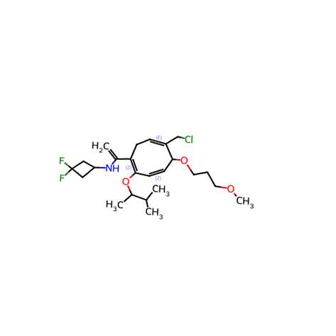 C=C(NC1CC(F)(F)C1)/C1=C(OC(C)C(C)C)/C=C\C(OCCCOC)/C(CCl)=C\C1